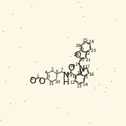 O=COC1CCC(CNC(=O)c2cccc3ccn(Cc4cc5ccccc5o4)c23)CC1